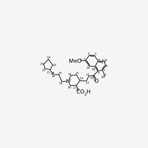 COc1ccc2ncc(F)c(C(=O)CCC3CCN(CCSC4CCCC4)CC3C(=O)O)c2c1